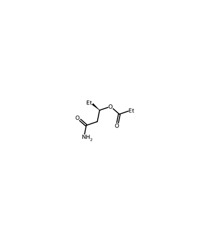 CCC(=O)O[C@H](CC)CC(N)=O